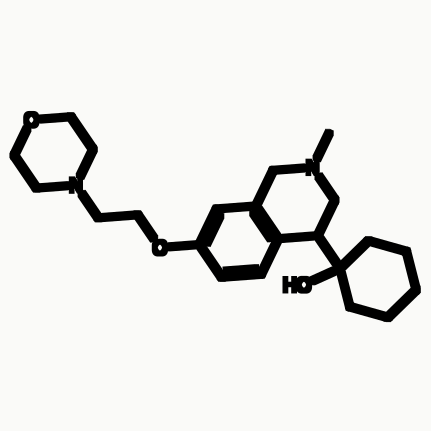 CN1Cc2cc(OCCN3CCOCC3)ccc2C(C2(O)CCCCC2)C1